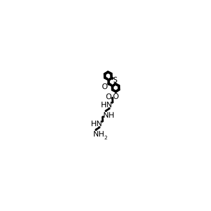 NCCNCCNCCNCC(=O)Oc1ccc2sc3ccccc3c(=O)c2c1